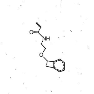 C=CC(=O)NCCOC1Cc2ccccc21